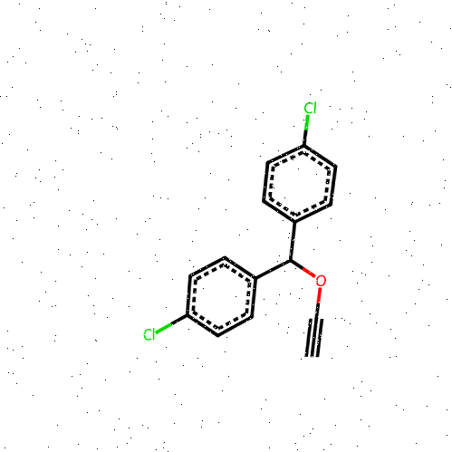 C#COC(c1ccc(Cl)cc1)c1ccc(Cl)cc1